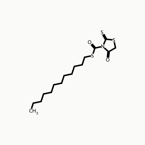 CCCCCCCCCCCCSC(=O)N1C(=O)CSC1=S